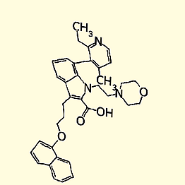 CCc1nccc(C)c1-c1cccc2c(CCCOc3cccc4ccccc34)c(C(=O)O)n(CCN3CCOCC3)c12